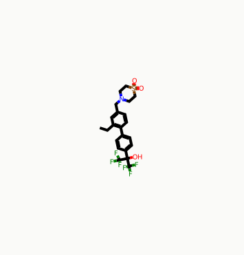 CCc1cc(CN2CCS(=O)(=O)CC2)ccc1-c1ccc(C(O)(C(F)(F)F)C(F)(F)F)cc1